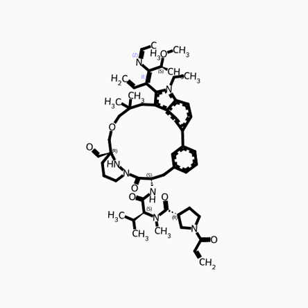 C=CC(=O)N1CC[C@@H](C(=O)N(C)[C@H](C(=O)N[C@H]2Cc3cccc(c3)-c3ccc4c(c3)c(c(/C(C=C)=C(/N=C\C)[C@H](C)OC)n4CC)CC(C)(C)COC[C@@]3(C=O)CCCN(N3)C2=O)C(C)C)C1